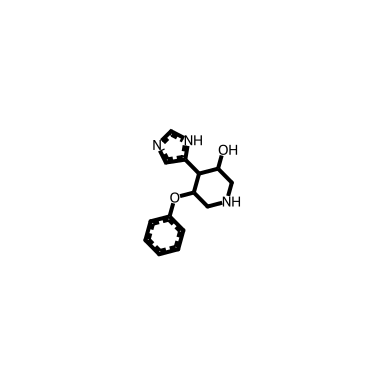 OC1CNCC(Oc2ccccc2)C1c1cnc[nH]1